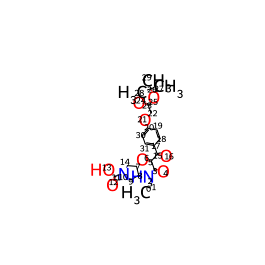 CCNC(=O)[C@@H](O[C@@H]1CCN(C(=O)O)C1)C(=O)c1ccc(OCC(=O)OC(C)(C)C)cc1